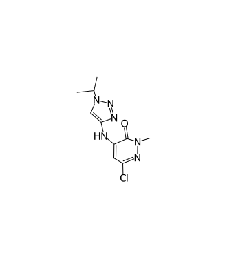 CC(C)n1cc(Nc2cc(Cl)nn(C)c2=O)nn1